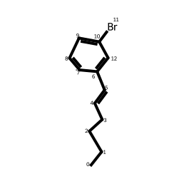 CCCCC=Cc1[c]ccc(Br)c1